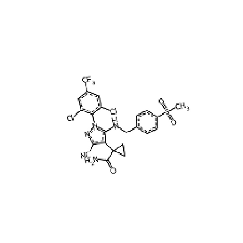 CS(=O)(=O)c1ccc(CNc2c(C3(C(N)=O)CC3)c(C#N)nn2-c2c(Cl)cc(C(F)(F)F)cc2Cl)cc1